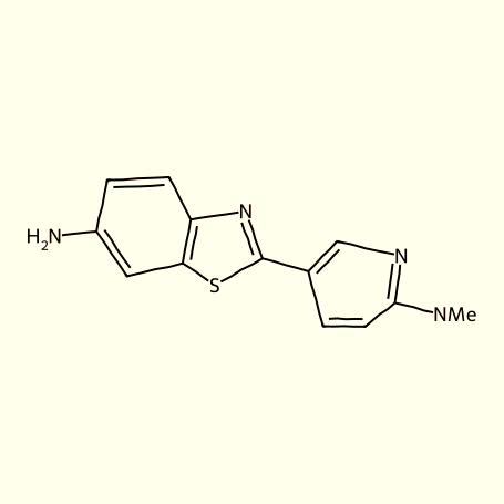 CNc1ccc(-c2nc3ccc(N)cc3s2)cn1